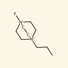 [CH2]CC[N+]12CC[N+](F)(CC1)CC2